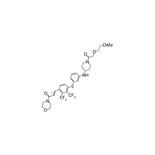 COCCOCC(=O)N1CCC(Nc2cccc(Sc3ccc(/C=C/C(=O)N4CCOCC4)c(C(F)(F)F)c3C(F)(F)F)c2)CC1